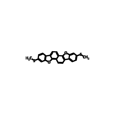 CSc1ccc2c(c1)oc1c2ccc2c1ccc1c3ccc(SC)cc3oc12